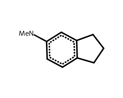 CNc1ccc2c(c1)CCC2